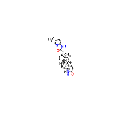 Cc1ccc(NC(=O)C[C@H]2CC[C@H]3[C@@H]4CC[C@H]5NC(=O)C=C[C@]5(C)[C@H]4CC[C@]23C)nc1